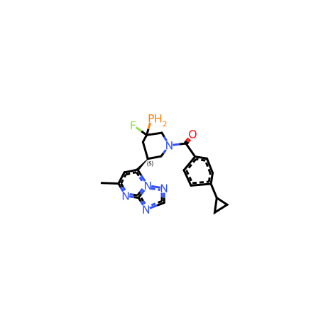 Cc1cc([C@@H]2CN(C(=O)c3ccc(C4CC4)cc3)CC(F)(P)C2)n2ncnc2n1